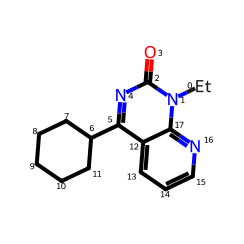 CCn1c(=O)nc(C2CCCCC2)c2cccnc21